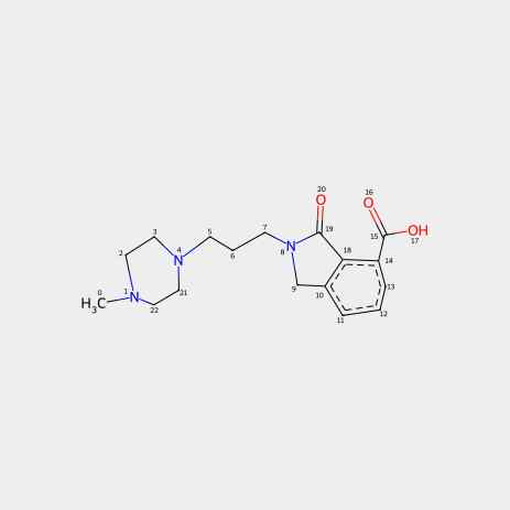 CN1CCN(CCCN2Cc3cccc(C(=O)O)c3C2=O)CC1